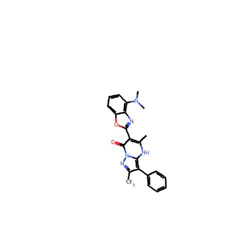 Cc1[nH]c2c(-c3ccccc3)c(C(F)(F)F)nn2c(=O)c1-c1nc2c(N(C)C)cccc2o1